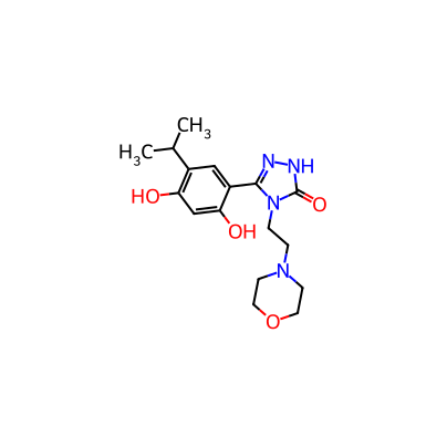 CC(C)c1cc(-c2n[nH]c(=O)n2CCN2CCOCC2)c(O)cc1O